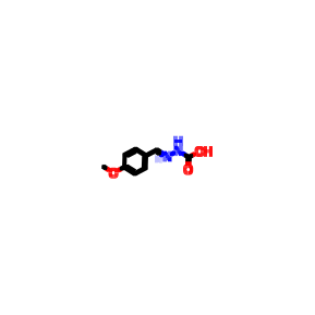 COc1ccc(/C=N/NC(=O)O)cc1